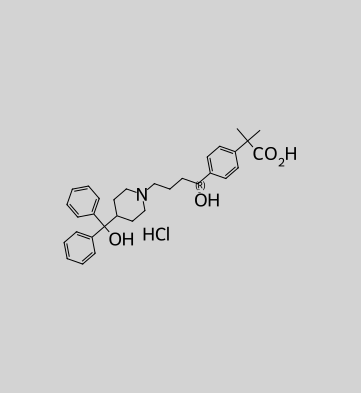 CC(C)(C(=O)O)c1ccc([C@H](O)CCCN2CCC(C(O)(c3ccccc3)c3ccccc3)CC2)cc1.Cl